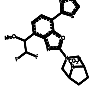 COC(c1ccc(-c2nccs2)c2oc(N3CC4CCC(C3)N4C(=O)O)nc12)C(F)F